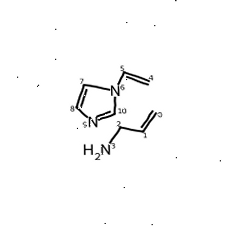 C=CCN.C=Cn1ccnc1